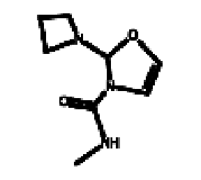 CNC(=O)N1C=COC1N1CCC1